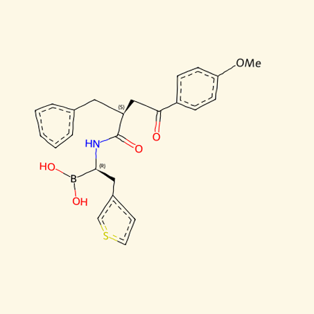 COc1ccc(C(=O)C[C@H](Cc2ccccc2)C(=O)N[C@@H](Cc2ccsc2)B(O)O)cc1